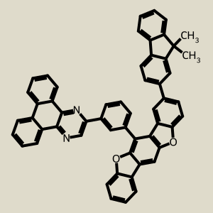 CC1(C)c2ccccc2-c2ccc(-c3ccc4oc5cc6c(oc7ccccc76)c(-c6cccc(-c7cnc8c9ccccc9c9ccccc9c8n7)c6)c5c4c3)cc21